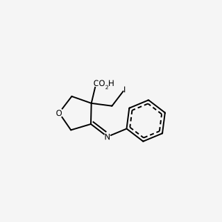 O=C(O)C1(CI)COCC1=Nc1ccccc1